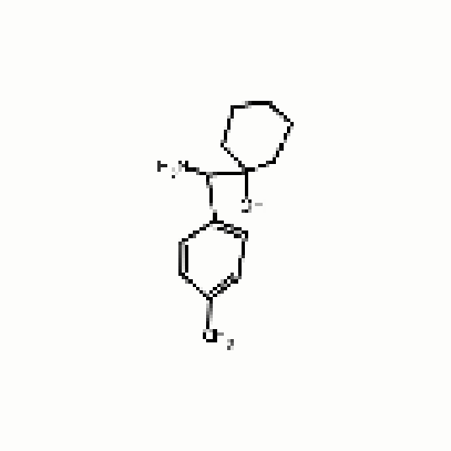 Cc1ccc(C(N)C2(O)CCCCC2)cc1